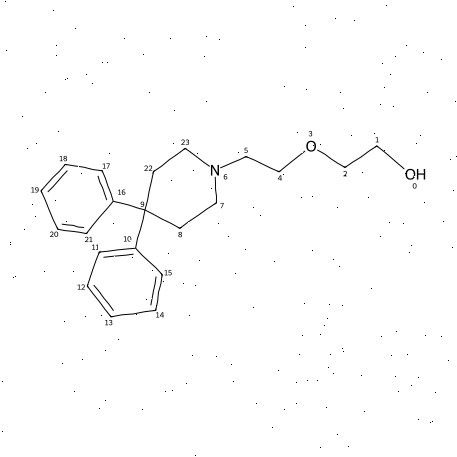 OCCOCCN1CCC(c2ccccc2)(c2ccccc2)CC1